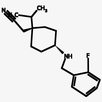 CC(C)[C@]1(CC#N)CC[C@H](NCc2ccccc2F)CC1